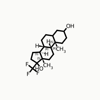 C[C@]12CCC(O)CC1CC[C@@H]1[C@H]2CC[C@@]2(C)[C@H]1CCC2(O)C(F)(F)F